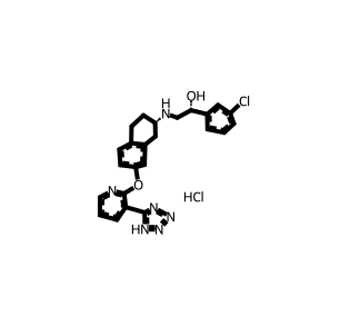 Cl.O[C@@H](CN[C@H]1CCc2ccc(Oc3ncccc3-c3nnn[nH]3)cc2C1)c1cccc(Cl)c1